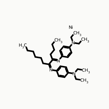 CCCCCCC(=Nc1ccc(N(CC)CC)cc1)C(CCCC)=Nc1ccc(N(CC)CC)cc1.[Ni]